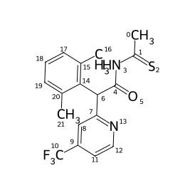 CC(=S)NC(=O)C(c1cc(C(F)(F)F)ccn1)c1c(C)cccc1C